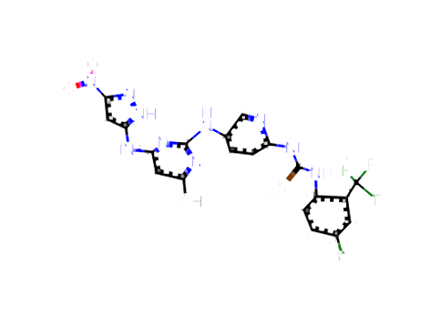 Cc1cc(Nc2cc([N+](=O)[O-])n[nH]2)nc(Nc2ccc(NC(=S)Nc3ccc(Cl)cc3C(F)(F)F)nc2)n1